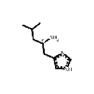 CC(C)C[C@@H](N)Cc1c[nH]cn1